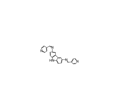 C(=N/c1ccc2[nH]c3ccc(/N=C/c4ccncc4)cc3c2c1)/c1ccncc1